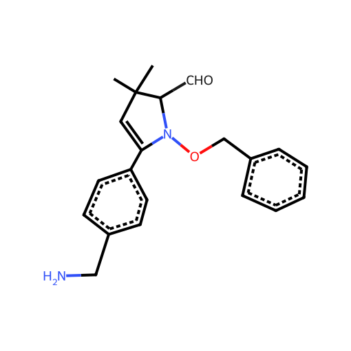 CC1(C)C=C(c2ccc(CN)cc2)N(OCc2ccccc2)C1C=O